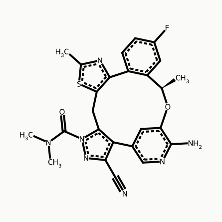 Cc1nc2c(s1)Cc1c(c(C#N)nn1C(=O)N(C)C)-c1cnc(N)c(c1)O[C@H](C)c1cc(F)ccc1-2